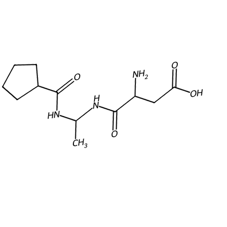 CC(NC(=O)C(N)CC(=O)O)NC(=O)C1CCCC1